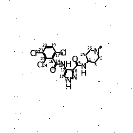 CN1CCC(NC(=O)c2n[nH]cc2NC(=O)c2c(Cl)ccc(Cl)c2Cl)CC1